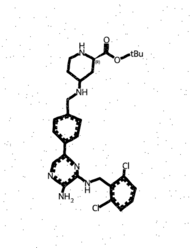 CC(C)(C)OC(=O)[C@H]1CC(NCc2ccc(-c3cnc(N)c(NCc4c(Cl)cccc4Cl)n3)cc2)CCN1